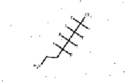 FC(F)(F)C(F)(F)C(F)(F)C(F)(F)C(F)(F)CC[SiH3]